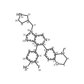 CN1CCOc2ccc(-c3ncc4c(ncn4CC4CCNC4)c3-c3ccc(C#N)c(F)c3)cc21